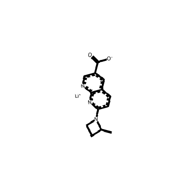 CC1CCN1c1ccc2cc(C(=O)[O-])cnc2n1.[Li+]